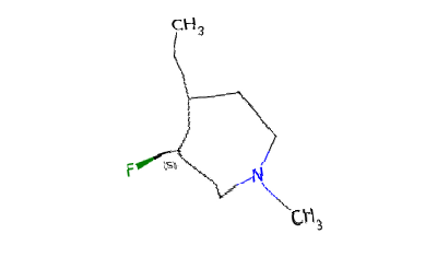 CCC1CCN(C)C[C@H]1F